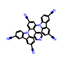 N#Cc1cc(-n2c3ccc(C#N)cc3c3cc(C#N)ccc32)c(-c2ccncc2)c(-n2c3ccc(C#N)cc3c3cc(C#N)ccc32)c1